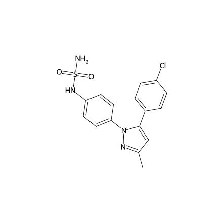 Cc1cc(-c2ccc(Cl)cc2)n(-c2ccc(NS(N)(=O)=O)cc2)n1